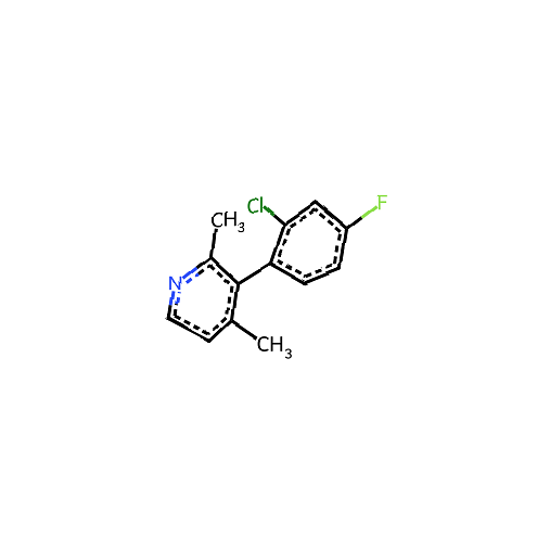 Cc1ccnc(C)c1-c1ccc(F)cc1Cl